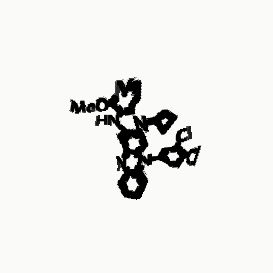 COc1ncccc1Nc1cc2nc3ccccc3n(-c3ccc(Cl)c(Cl)c3)c-2cc1=NC1CCC1